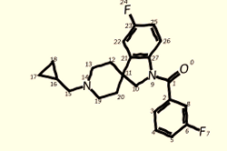 O=C(c1cccc(F)c1)N1CC2(CCN(CC3CC3)CC2)c2cc(F)ccc21